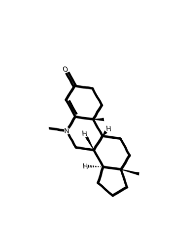 CN1C[C@@H]2[C@@H](CC[C@]3(C)CCC[C@@H]23)[C@@]2(C)CCC(=O)C=C12